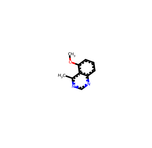 COc1cccc2ncnc(C)c12